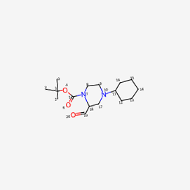 CC(C)(C)OC(=O)N1CCN(C2CCCCC2)CC1C=O